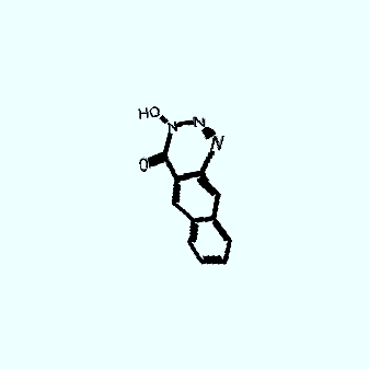 O=c1c2cc3ccccc3cc2nnn1O